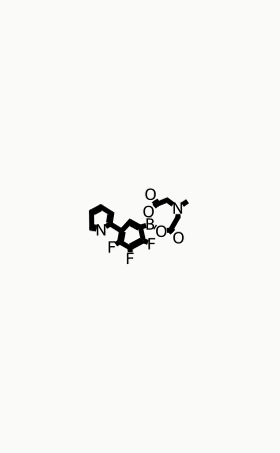 CN1CC(=O)OB(c2cc(-c3ccccn3)c(F)c(F)c2F)OC(=O)C1